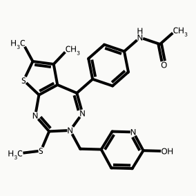 CSC1=Nc2sc(C)c(C)c2C(c2ccc(NC(C)=O)cc2)=NN1Cc1ccc(O)nc1